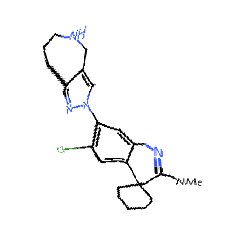 CNC1=Nc2cc(-n3cc4c(n3)CCCNC4)c(Cl)cc2C12CCC2